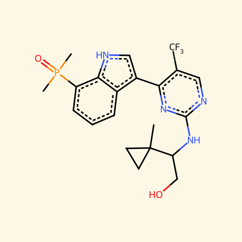 CC1(C(CO)Nc2ncc(C(F)(F)F)c(-c3c[nH]c4c(P(C)(C)=O)cccc34)n2)CC1